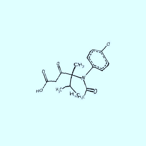 CC(=O)N(c1ccc(Cl)cc1)C(C)(C(=O)CC(=O)O)C(C)C